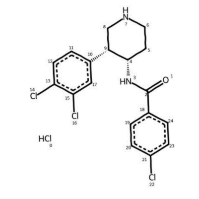 Cl.O=C(N[C@H]1CCNC[C@H]1c1ccc(Cl)c(Cl)c1)c1ccc(Cl)cc1